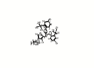 Cc1ccc([O][Ti](=[CH]c2sccc2C)[O]c2ccc(C)cc2C(C)(C)C)c(C(C)(C)C)c1.Cl.Cl